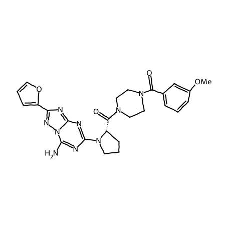 COc1cccc(C(=O)N2CCN(C(=O)[C@@H]3CCCN3c3nc(N)n4nc(-c5ccco5)nc4n3)CC2)c1